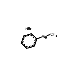 Br.[CH3][Mg][c]1ccccc1